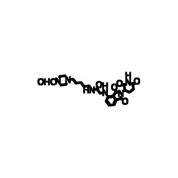 O=CN1CCN(CCCCCNC(=O)CNc2cccc3c2C(=O)N(C2CCC(=O)NC2=O)C3=O)CC1